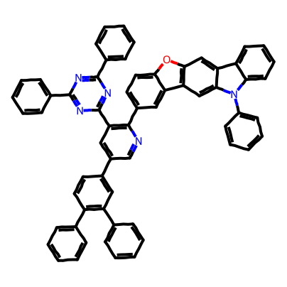 c1ccc(-c2nc(-c3ccccc3)nc(-c3cc(-c4ccc(-c5ccccc5)c(-c5ccccc5)c4)cnc3-c3ccc4oc5cc6c7ccccc7n(-c7ccccc7)c6cc5c4c3)n2)cc1